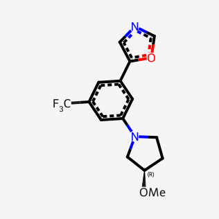 CO[C@@H]1CCN(c2cc(-c3cnco3)cc(C(F)(F)F)c2)C1